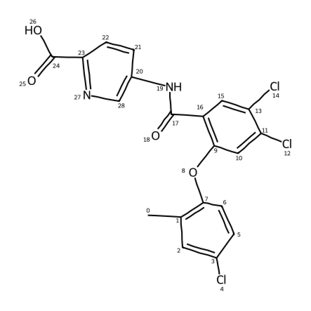 Cc1cc(Cl)ccc1Oc1cc(Cl)c(Cl)cc1C(=O)Nc1ccc(C(=O)O)nc1